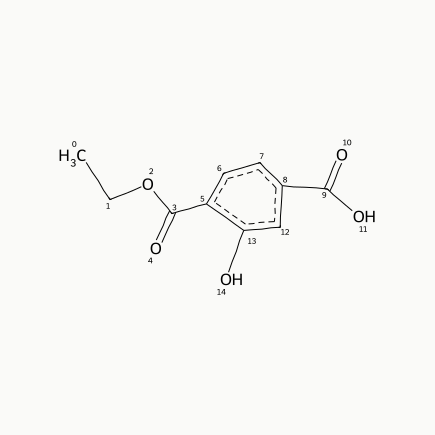 CCOC(=O)c1ccc(C(=O)O)cc1O